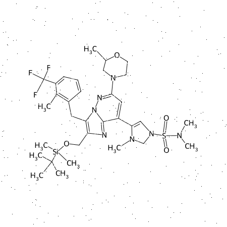 Cc1c(Cc2c(CO[Si](C)(C)C(C)(C)C)nc3c(C4=CN(S(=O)(=O)N(C)C)CN4C)cc(N4CCOC(C)C4)nn23)cccc1C(F)(F)F